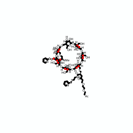 CN[C@H](CSCC1O[C@@H]2O[C@@H]3C(CO)O[C@H](O[C@@H]4C(CO)O[C@H](O[C@@H]5C(CO)O[C@H](O[C@@H]6C(CSC[C@@H](CC(=O)CCOCCOCCC(C)=O)C(=O)NCCSSc7ccccn7)O[C@H](O[C@@H]7C(CO)O[C@@H](O[C@@H]8C(CO)O[C@H](O[C@H]1[C@H](O)C2O)C(O)[C@H]8O)C(O)[C@H]7O)C(O)[C@H]6O)C(O)[C@H]5O)C(O)[C@H]4O)C(O)[C@H]3O)C(=O)NCCSSc1ccccn1